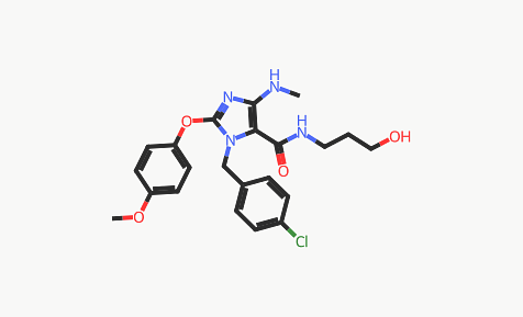 CNc1nc(Oc2ccc(OC)cc2)n(Cc2ccc(Cl)cc2)c1C(=O)NCCCO